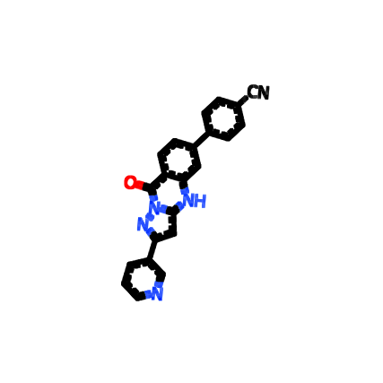 N#Cc1ccc(-c2ccc3c(=O)n4nc(-c5cccnc5)cc4[nH]c3c2)cc1